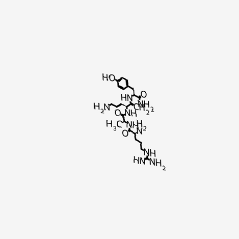 C=C(N[C@@H](Cc1ccc(O)cc1)C(N)=O)[C@H](CCCN)NC(=O)[C@H](C)NC(=O)[C@@H](N)CCCNC(=N)N